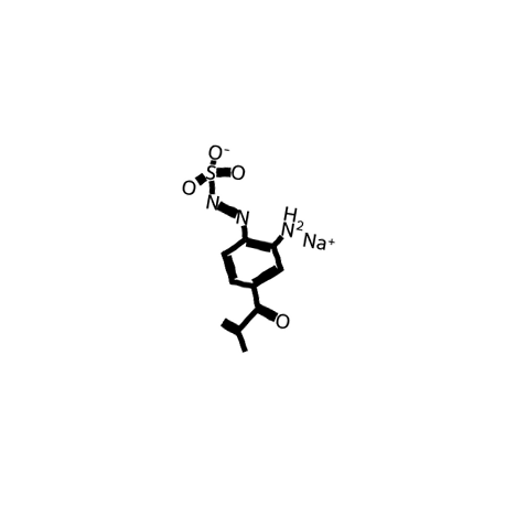 C=C(C)C(=O)c1ccc(N=NS(=O)(=O)[O-])c(N)c1.[Na+]